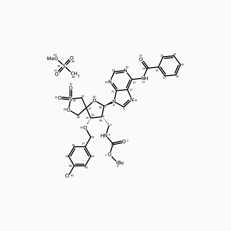 CC(C)(C)OC(=O)NC[C@H]1[C@H](n2cnc3c(NC(=O)c4ccccc4)ncnc32)OC2(COS(=O)(=O)C2)[C@H]1OCc1ccc(Cl)cc1.COS(C)(=O)=O